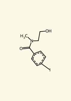 CN(CCO)C(=O)c1ccc(I)cc1